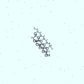 CCC(CC(CC(CC(CC(C)OCCO)OCCO)OCCO)OCCO)OCCO